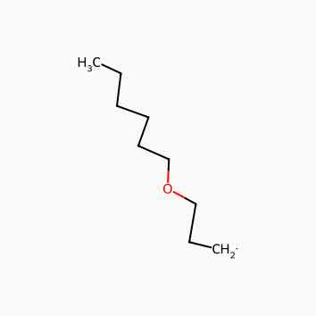 [CH2]CCOCCCCCC